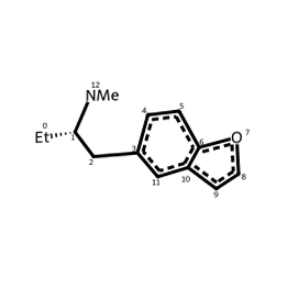 CC[C@@H](Cc1ccc2occc2c1)NC